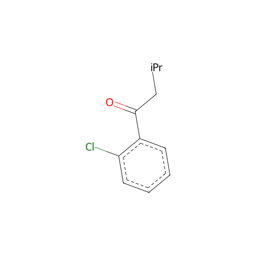 CC(C)CC(=O)c1ccccc1Cl